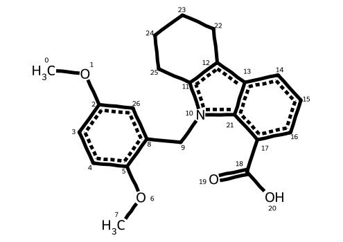 COc1ccc(OC)c(Cn2c3c(c4cccc(C(=O)O)c42)CCCC3)c1